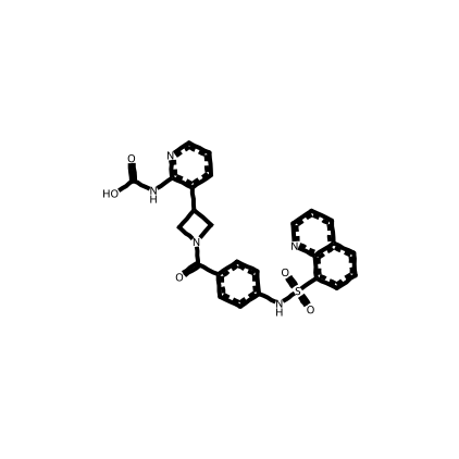 O=C(O)Nc1ncccc1C1CN(C(=O)c2ccc(NS(=O)(=O)c3cccc4cccnc34)cc2)C1